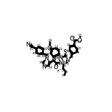 CC[C@H](C)[C@@H](CN(Cc1ccc(C(=O)OC)cc1)C(=S)Nc1ccc(OC)cc1)NC(=O)Cc1cncn1Cc1ccc(C#N)cc1